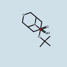 CC(C)(C)OC(=O)N1C2COCC1CC(=N)C2